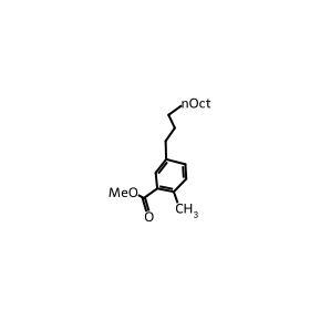 CCCCCCCCCCCc1ccc(C)c(C(=O)OC)c1